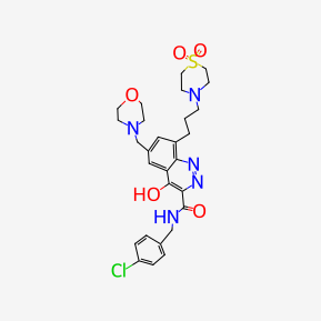 O=C(NCc1ccc(Cl)cc1)c1nnc2c(CCCN3CCS(=O)(=O)CC3)cc(CN3CCOCC3)cc2c1O